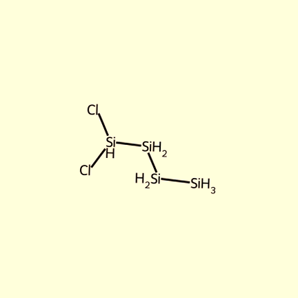 [SiH3][SiH2][SiH2][SiH](Cl)Cl